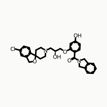 O=C(c1ccc(O)cc1OC[C@@H](O)CN1CCC2(CC1)OCc1cc(Cl)ccc12)N1Cc2ccccc2C1